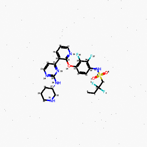 CCC(F)(F)CS(=O)(=O)Nc1ccc(Oc2ncccc2-c2ccnc(N[C@H]3CCCNC3)n2)c(F)c1F